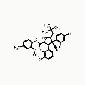 COc1cc(C)ccc1NC(=O)C1NC(CC(C)(C)C)C(C#N)(c2ccc(Cl)cc2F)[C@H]1c1cccc(Cl)c1F